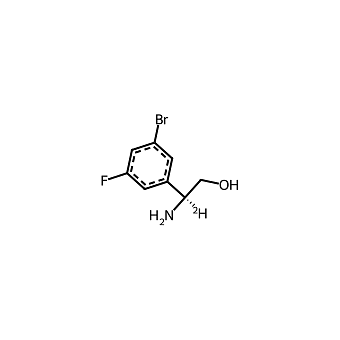 [2H][C@@](N)(CO)c1cc(F)cc(Br)c1